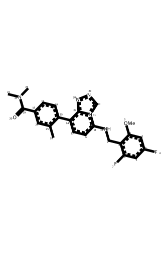 COc1cc(F)cc(F)c1CNc1ccc(-c2ccc(C(=O)N(C)C)cc2C)c2nncn12